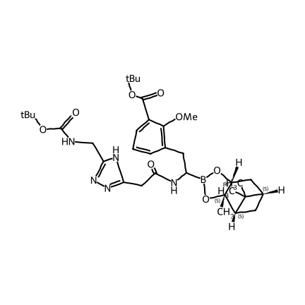 COc1c(CC(NC(=O)Cc2nnc(CNC(=O)OC(C)(C)C)[nH]2)B2O[C@@H]3C[C@@H]4C[C@@H](C4(C)C)[C@]3(C)O2)cccc1C(=O)OC(C)(C)C